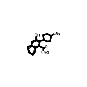 CC(C)(C)C1CCC(c2c(O)cc3ccccc3c2C(=O)C=O)CC1